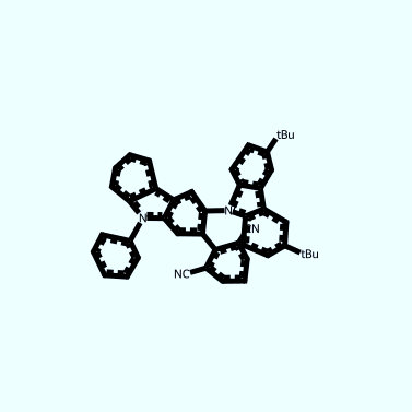 CC(C)(C)c1ccc2c(c1)c1cc(C(C)(C)C)ccc1n2-c1cc2c3ccccc3n(-c3ccccc3)c2cc1-c1c(C#N)cccc1C#N